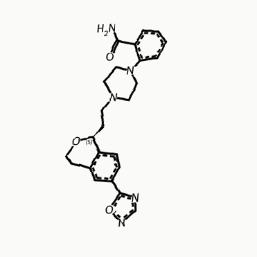 NC(=O)c1ccccc1N1CCN(CC[C@@H]2OCCc3cc(-c4ncno4)ccc32)CC1